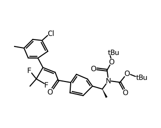 Cc1cc(Cl)cc(/C(=C/C(=O)c2ccc([C@H](C)N(C(=O)OC(C)(C)C)C(=O)OC(C)(C)C)cc2)C(C)(F)F)c1